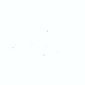 CCC(=O)CC(=Nc1c(C(C)C)cccc1C(C)C)Nc1c(C(C)C)cccc1C(C)C